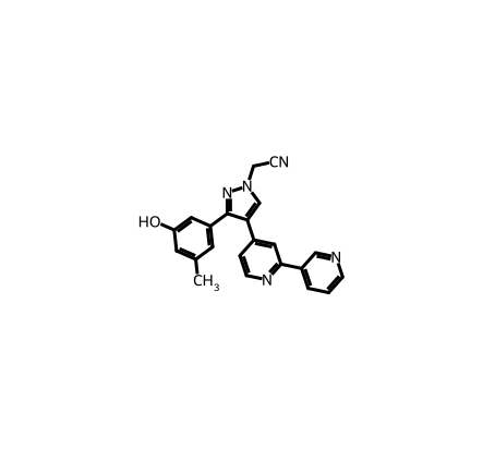 Cc1cc(O)cc(-c2nn(CC#N)cc2-c2ccnc(-c3cccnc3)c2)c1